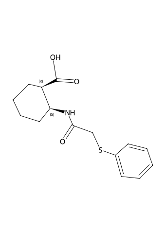 O=C(CSc1ccccc1)N[C@H]1CCCC[C@H]1C(=O)O